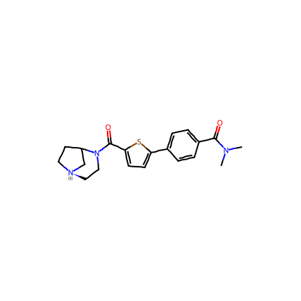 CN(C)C(=O)c1ccc(-c2ccc(C(=O)N3CC[N@@]4CCC3C4)s2)cc1